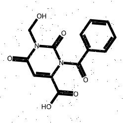 O=C(O)c1cc(=O)n(CO)c(=O)n1C(=O)c1ccccc1